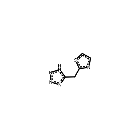 c1csc(Cc2nnn[nH]2)n1